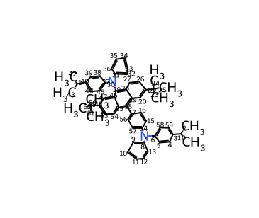 CC(C)c1ccc(N(c2ccccc2)c2ccc(-c3c4cc(C(C)(C)C)ccc4c(N(c4ccccc4)c4ccc(C(C)C)cc4)c4cc(C(C)(C)C)ccc34)cc2)cc1